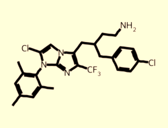 Cc1cc(C)c(-n2c(Cl)cn3c(CC(CCN)Cc4ccc(Cl)cc4)c(C(F)(F)F)nc23)c(C)c1